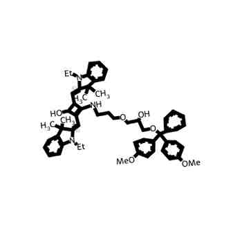 CCN1/C(=C/C2=C(NCCCOCC(O)COC(c3ccccc3)(c3ccc(OC)cc3)c3ccc(OC)cc3)C(/C=C3/N(CC)c4ccccc4C3(C)C)C2O)C(C)(C)c2ccccc21